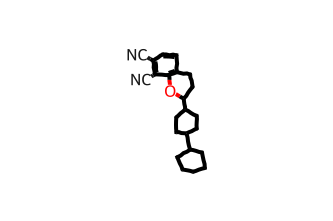 N#Cc1ccc2c(c1C#N)OC(C1CCC(C3CCCCC3)CC1)CC2